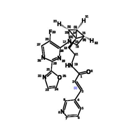 O=C(/C=C/c1cccnc1)NCC[C@@]12[C@@H]3[C@H]1CN(c1nc(-c4ncco4)ncc1F)[C@@H]32